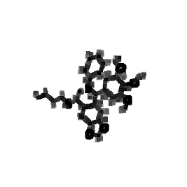 CCCCSC(C)c1cc2c(cc1C(Sc1ccccc1)c1cc(OC)c(OC)c(OC)c1)OCO2